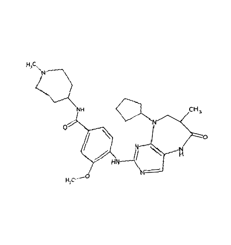 COc1cc(C(=O)NC2CCN(C)CC2)ccc1Nc1ncc2c(n1)N(C1CCCC1)CC(C)C(=O)N2